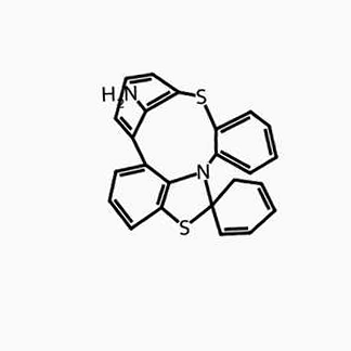 Nc1c2cccc1-c1cccc3c1N(c1ccccc1S2)C1(C=CC=CC1)S3